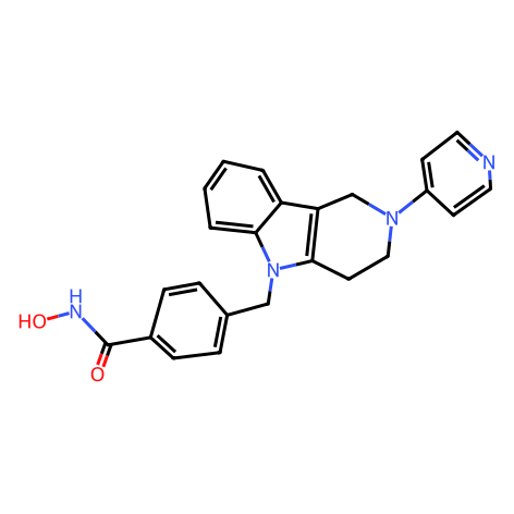 O=C(NO)c1ccc(Cn2c3c(c4ccccc42)CN(c2ccncc2)CC3)cc1